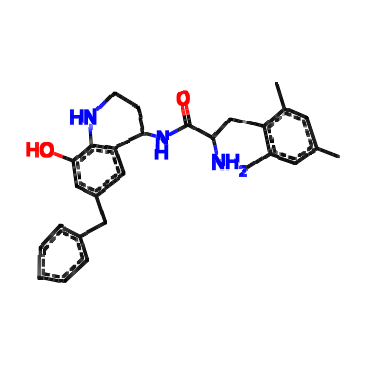 Cc1cc(C)c(CC(N)C(=O)NC2CCNc3c(O)cc(Cc4ccccc4)cc32)c(C)c1